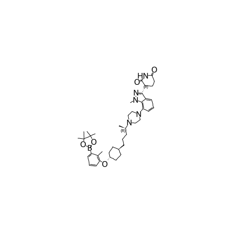 Cc1c(O[C@H]2CC[C@H](CCC[C@@H](C)N3CCN(c4cccc5c([C@H]6CCC(=O)NC6=O)nn(C)c45)CC3)CC2)cccc1B1OC(C)(C)C(C)(C)O1